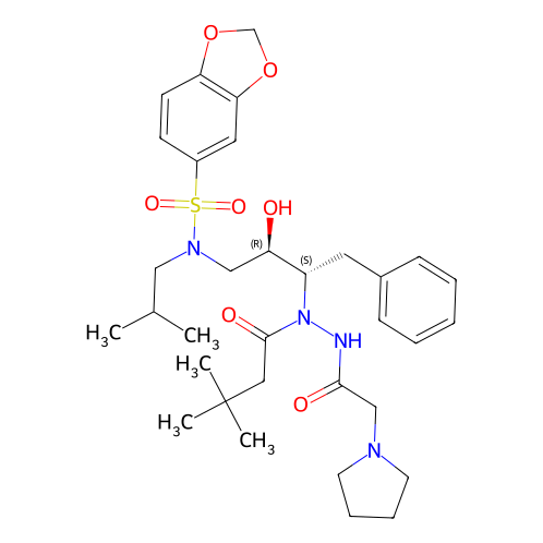 CC(C)CN(C[C@@H](O)[C@H](Cc1ccccc1)N(NC(=O)CN1CCCC1)C(=O)CC(C)(C)C)S(=O)(=O)c1ccc2c(c1)OCO2